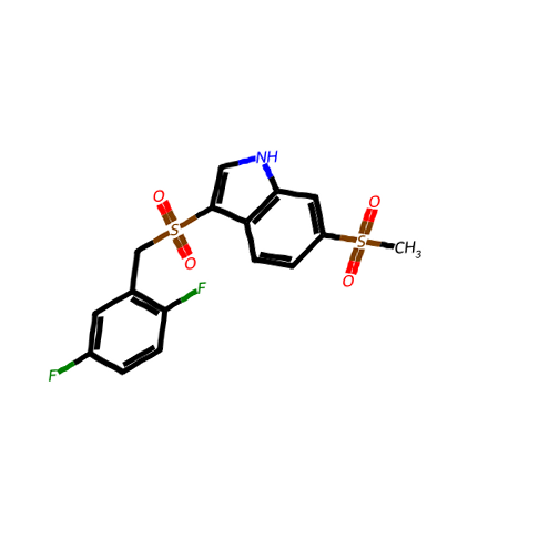 CS(=O)(=O)c1ccc2c(S(=O)(=O)Cc3cc(F)ccc3F)c[nH]c2c1